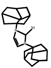 [2H]C1N(C23CC4CC(CC(C4)C2)C3)C=CN1C12CC3CC(CC(C3)C1)C2